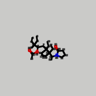 CCC(C)(CC)C(CC(CC)(CC)C(CC)(CC)C(C)N1CCCC1=O)OC(C)=O